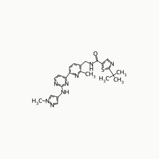 Cc1nc(-c2ccnc(Nc3cnn(C)c3)n2)ccc1CNC(=O)c1cnc(C(C)(C)C)s1